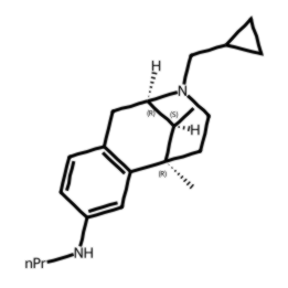 CCCNc1ccc2c(c1)[C@]1(C)CCN(CC3CC3)[C@H](C2)[C@H]1C